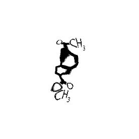 COC(=O)C1CCc2cc(C(C)=O)ccc2C1